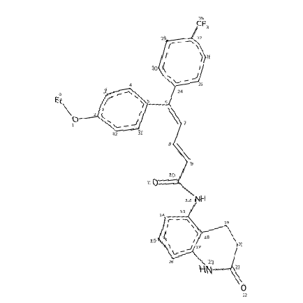 CCOc1ccc(/C(=C\C=C\C(=O)Nc2cccc3c2CCC(=O)N3)c2ccc(C(F)(F)F)cc2)cc1